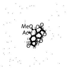 COC[C@H]1OC(=O)C2=COC3C(=O)C4C([C@H](CC(C)=O)C[C@]5(C)C(=O)CC[C@@H]45)[C@]1(C)C23